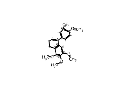 COc1ccc(C2=CCCc3c2cc(OC)c(OC)c3OC)cc1O